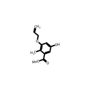 C=CCOc1cc(O)cc(C(=O)OC)c1C